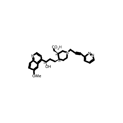 COc1ccc2nccc([C@@H](O)CC[C@@H]3CCN(CC#Cc4cccnn4)C[C@@H]3CC(=O)O)c2c1